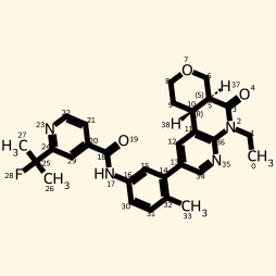 CCN1C(=O)[C@@H]2COCC[C@H]2c2cc(-c3cc(NC(=O)c4ccnc(C(C)(C)F)c4)ccc3C)cnc21